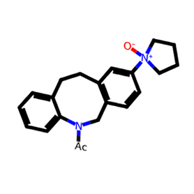 CC(=O)N1Cc2ccc([N+]3([O-])CCCC3)cc2CCc2ccccc21